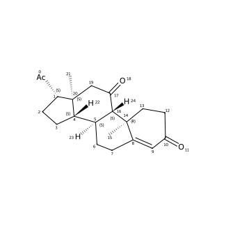 [CH2]C(=O)[C@H]1CC[C@H]2[C@@H]3CCC4=CC(=O)CC[C@]4(C)[C@H]3C(=O)C[C@]12C